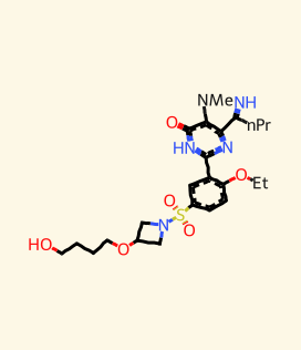 CCCC(=N)c1nc(-c2cc(S(=O)(=O)N3CC(OCCCCO)C3)ccc2OCC)[nH]c(=O)c1NC